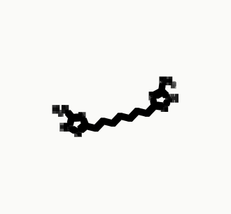 Nc1nc(CCCCCCCc2n[nH]c(N)n2)n[nH]1